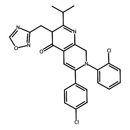 CC(C)C1=NC2=C(C=C(c3ccc(Cl)cc3)N(c3ccccc3Cl)C2)C(=O)C1Cc1ncon1